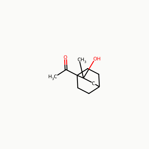 CC(=O)C12CCC(CC1)CC2(C)O